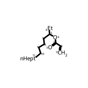 C=CC(=O)OC(CC)CCCCCCCCCCC